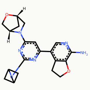 Nc1ncc(-c2cc(N3C[C@@H]4C[C@H]3CO4)nc(N3CC4CC3C4)n2)c2c1OCC2